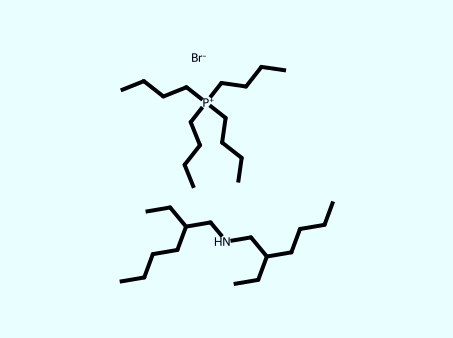 CCCCC(CC)CNCC(CC)CCCC.CCCC[P+](CCCC)(CCCC)CCCC.[Br-]